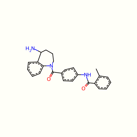 Cc1ccccc1C(=O)Nc1ccc(C(=O)N2CCCC(N)c3ccccc32)cc1